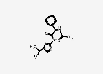 CC(=O)NC(C(=O)Nc1ncc(C(C)C)s1)c1ccccc1